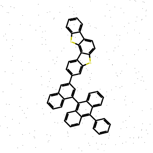 c1ccc(-c2c3ccccc3c(-c3cc(-c4ccc5c(c4)sc4ccc6c7ccccc7sc6c45)cc4ccccc34)c3ccccc23)cc1